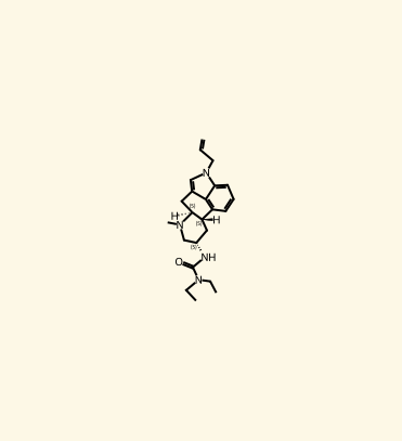 C=CCn1cc2c3c(cccc31)[C@@H]1C[C@H](NC(=O)N(CC)CC)CN(C)[C@H]1C2